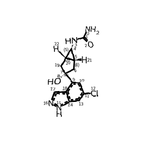 NC(=O)N[C@@H]1[C@@H]2C[C@@](O)(c3cc(Cl)cc4[nH]ncc34)C[C@@H]21